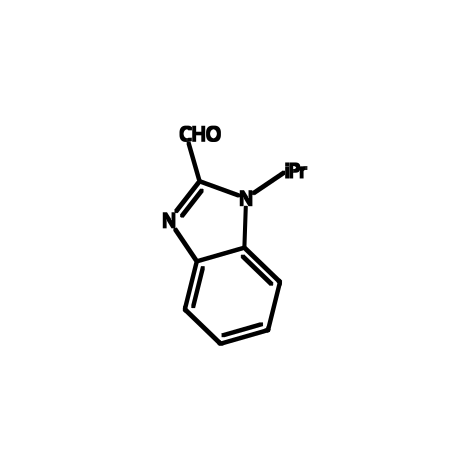 CC(C)n1c(C=O)nc2ccccc21